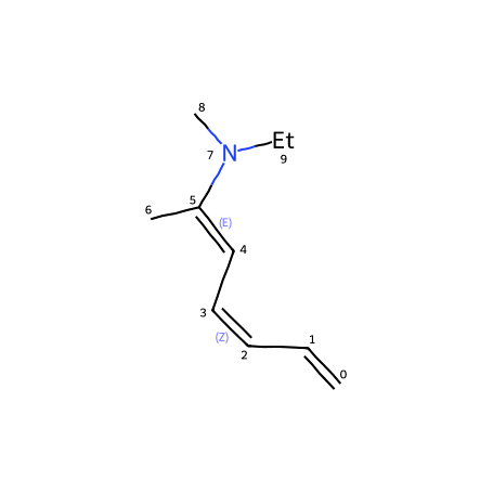 C=C/C=C\C=C(/C)N(C)CC